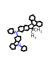 CC1(C)c2cc3cc(N(c4ccccc4)c4ccc5c(c4)c4ccccc4n5-c4ccccc4)ccc3cc2-c2c1c1ccccc1c1ccccc21